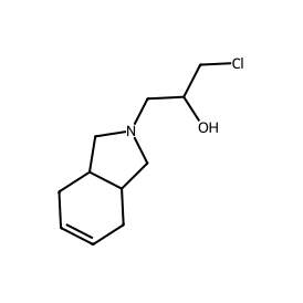 OC(CCl)CN1CC2CC=CCC2C1